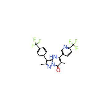 Cc1nn2c(=O)c(C)c(-c3ccc(C(F)(F)F)nc3)[nH]c2c1-c1ccc(C(F)(F)F)cc1